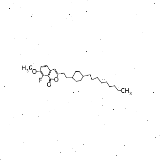 CCCCCCCCCC1CCC(CCc2cc3ccc(OC)c(F)c3c(=O)o2)CC1